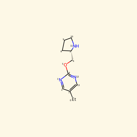 CCc1cnc(OC[C@@H]2CCCN2)nc1